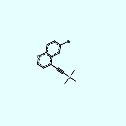 C[Si](C)(C)C#Cc1ccnc2ccc(Br)cc12